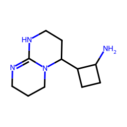 NC1CCC1C1CCNC2=NCCCN21